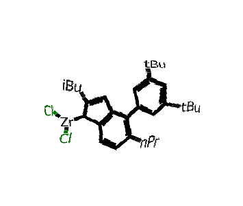 CCCc1ccc2c(c1-c1cc(C(C)(C)C)cc(C(C)(C)C)c1)C=C(C(C)CC)[CH]2[Zr]([Cl])[Cl]